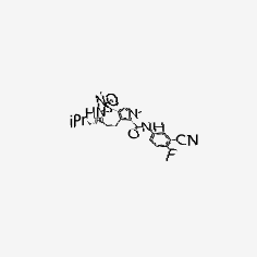 CN=S1(=O)N[C@@H](CC(C)C)CCc2c1cn(C)c2C(=O)Nc1ccc(F)c(C#N)c1